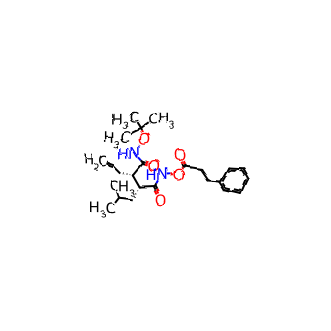 C=CC[C@H](C(=O)NOC(C)(C)C)[C@@H](CC(C)C)C(=O)NOC(=O)CCc1ccccc1